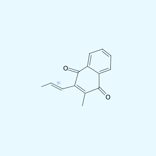 C/C=C/C1=C(C)C(=O)c2ccccc2C1=O